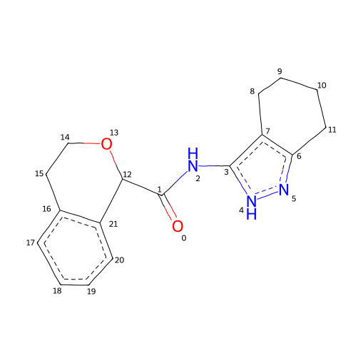 O=C(Nc1[nH]nc2c1CCCC2)C1OCCc2ccccc21